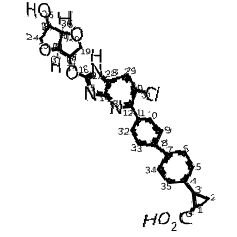 O=C(O)C1CC1c1ccc(-c2ccc(-c3nc4nc(O[C@@H]5CO[C@H]6[C@@H]5OC[C@H]6O)[nH]c4cc3Cl)cc2)cc1